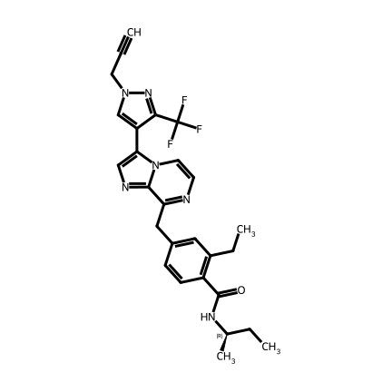 C#CCn1cc(-c2cnc3c(Cc4ccc(C(=O)N[C@H](C)CC)c(CC)c4)nccn23)c(C(F)(F)F)n1